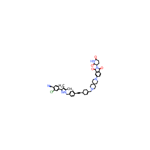 Cc1c(-c2ccc(C#N)c(Cl)c2)nn(Cc2ccc(C#C[C@@H]3CC=C(CN4CCC5(CC4)CCN(c4ccc6c(c4)C(=O)N(C4CCC(=O)NC4=O)C6=O)CC5)CC3)cc2)c1C